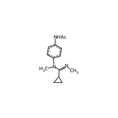 CN=C(C1CC1)N(C)c1ccc(NC(C)=O)cc1